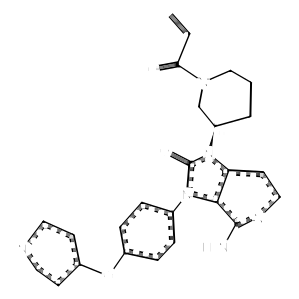 C=CC(=O)N1CCC[C@@H](n2c(=O)n(-c3ccc(Oc4ccncc4)cc3)c3c(N)nccc32)C1